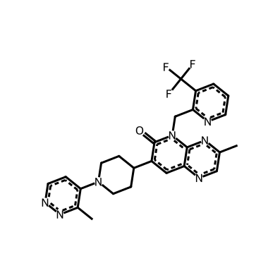 Cc1cnc2cc(C3CCN(c4ccnnc4C)CC3)c(=O)n(Cc3ncccc3C(F)(F)F)c2n1